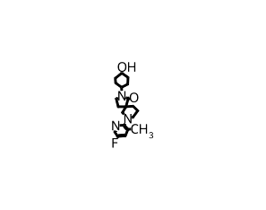 Cc1cc(F)cnc1N1CCCC2(CCN(C3CCC(O)CC3)C2=O)C1